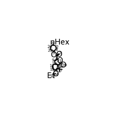 CCCCCCC1CCC(OC(=O)c2cc3ccc(OCC)c(F)c3c(=O)o2)CC1